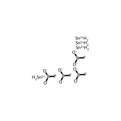 [O-]B([O-])F.[O-]B([O-])F.[O-]B([O-])F.[O-]B([O-])F.[SnH2+2].[SnH2+2].[SnH2+2].[SnH2+2]